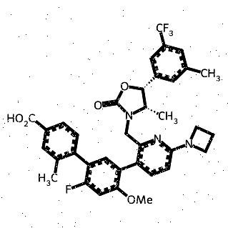 COc1cc(F)c(-c2ccc(C(=O)O)cc2C)cc1-c1ccc(N2CCC2)nc1CN1C(=O)O[C@H](c2cc(C)cc(C(F)(F)F)c2)[C@@H]1C